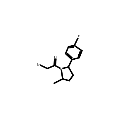 CC1CCC(c2ccc(F)cc2)N1C(=O)CBr